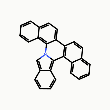 c1ccc2c(c1)ccc1c3ccc4ccccc4c3n3cc4ccccc4c3c21